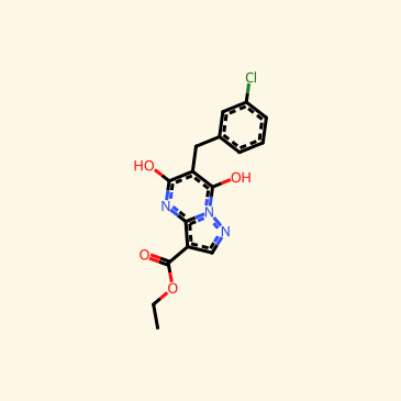 CCOC(=O)c1cnn2c(O)c(Cc3cccc(Cl)c3)c(O)nc12